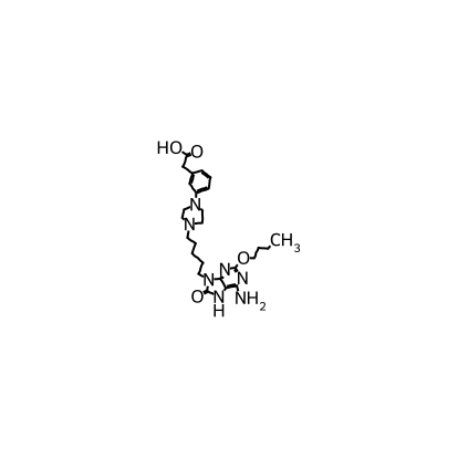 CCCCOc1nc(N)c2[nH]c(=O)n(CCCCCN3CCN(c4cccc(CC(=O)O)c4)CC3)c2n1